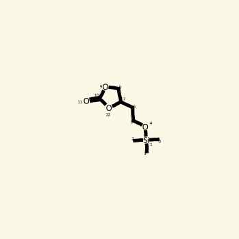 C[Si](C)(C)OCCC1COC(=O)O1